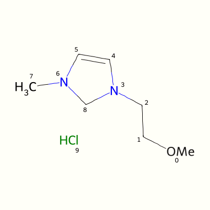 COCCN1C=CN(C)C1.Cl